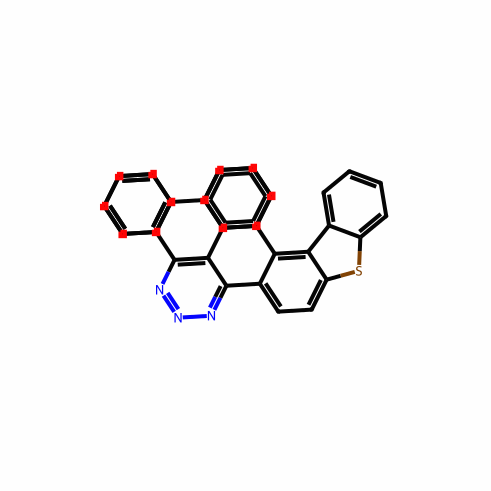 c1ccc(-c2ccccc2-c2c(-c3ccccc3)nnnc2-c2ccc3sc4ccccc4c3c2-c2ccccc2)cc1